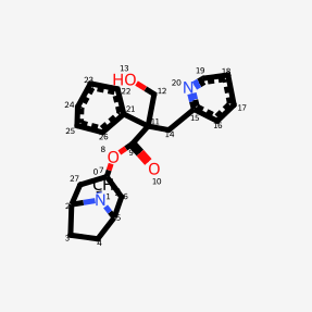 CN1C2CCC1CC(OC(=O)C(CO)(Cc1ccccn1)c1ccccc1)C2